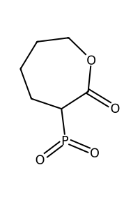 O=C1OCCCCC1P(=O)=O